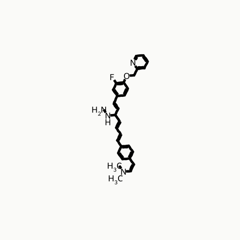 CN(C)/C=C\c1ccc(/C=C/C=C/C(/C=C/c2ccc(OCc3ccccn3)c(F)c2)NN)cc1